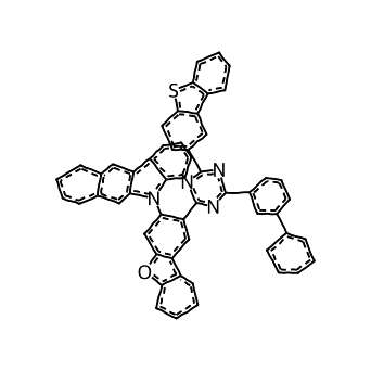 c1ccc(-c2cccc(-c3nc(-c4ccc5sc6ccccc6c5c4)nc(-c4cc5c(cc4-n4c6ccccc6c6cc7ccccc7cc64)oc4ccccc45)n3)c2)cc1